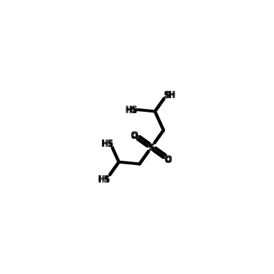 O=S(=O)(CC(S)S)CC(S)S